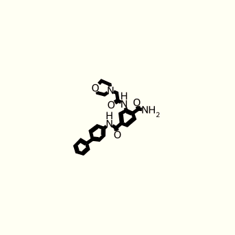 NC(=O)c1ccc(C(=O)Nc2ccc(-c3ccccc3)cc2)cc1NC(=O)CN1CCOCC1